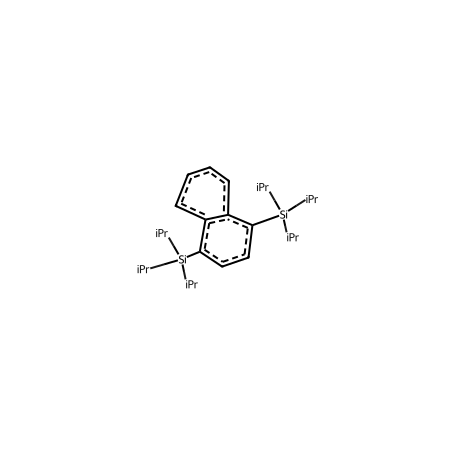 CC(C)[Si](c1ccc([Si](C(C)C)(C(C)C)C(C)C)c2ccccc12)(C(C)C)C(C)C